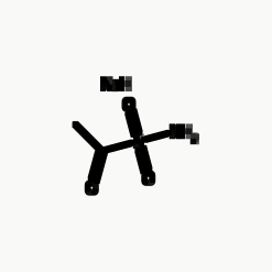 CC(=O)S(N)(=O)=O.[NaH]